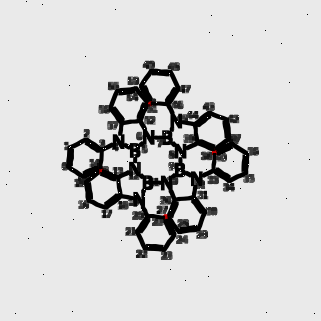 c1ccc(N2B3N(B4N(B5N(B6N3c3ccccc3N6c3ccccc3)c3ccccc3N5c3ccccc3)c3ccccc3N4c3ccccc3)c3ccccc32)cc1